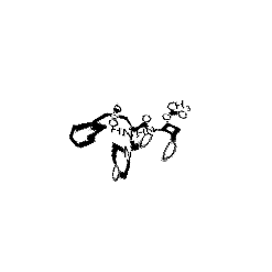 CC(=O)O[C@@H]1CC(=O)[C@H]1NC(=O)[C@H](CS(=O)(=O)Cc1ccccc1)NC(=O)N1CCOCC1